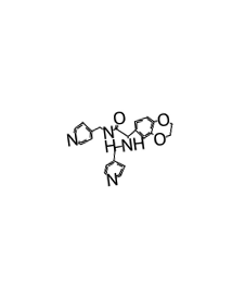 O=C(NCc1ccncc1)C(NCc1ccncc1)c1ccc2c(c1)OCCO2